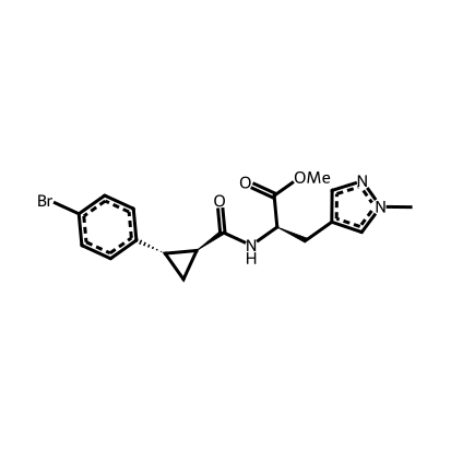 COC(=O)[C@@H](Cc1cnn(C)c1)NC(=O)[C@H]1C[C@@H]1c1ccc(Br)cc1